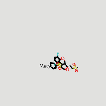 COc1ccc(S(=O)(=O)[C@@]23CCO[C@@H](CCS(C)(=O)=O)C2COc2c(F)ccc(F)c23)cc1